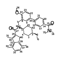 CC[C@H]1CC[C@@H](N(Cc2cc(-c3ccc(C(=O)N(C)C)cc3)ccc2OC)C(=O)C2=C(C)c3c(C)ccc(C)c3C2)CC1